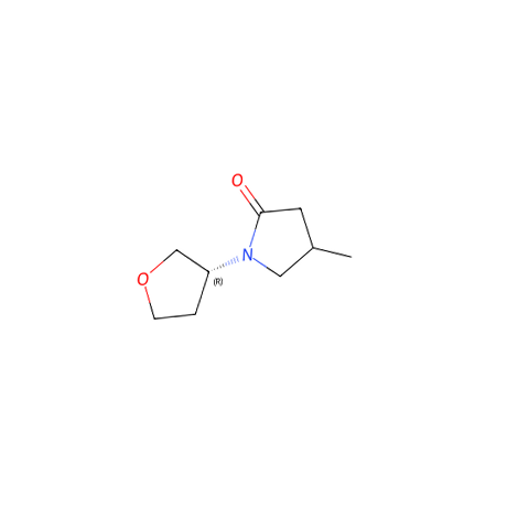 CC1CC(=O)N([C@@H]2CCOC2)C1